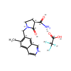 Cc1cc2ccncc2cc1CN1CC[C@@H](C(N)=O)C1=O.O=C(O)C(F)(F)F